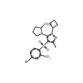 Cc1nn(C2CCC2)c(N2CCCC2C(=O)O)c1S(=O)(=O)c1ccc(Br)cc1C(F)(F)F